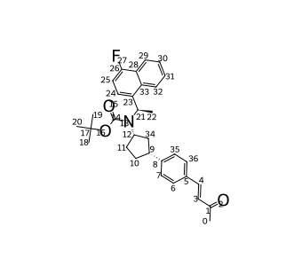 CC(=O)/C=C/c1ccc([C@@H]2CC[C@H](N(C(=O)OC(C)(C)C)[C@H](C)c3ccc(F)c4ccccc34)C2)cc1